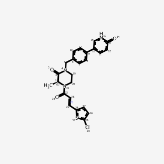 C[C@H]1C(=O)N(Cc2ccc(-c3ccc(=O)[nH]c3)cc2)CCN1C(=O)/C=C/c1ccc(Cl)s1